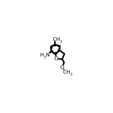 COCC1Cc2cc(C)cc(N)c2O1